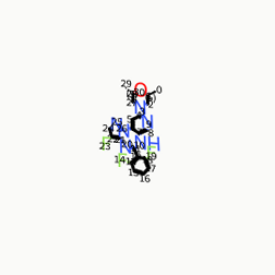 C[C@H]1CN(c2cc3c(cn2)NC(c2c(F)cccc2F)=Nc2c(F)cnn2-3)C[C@H](C)O1